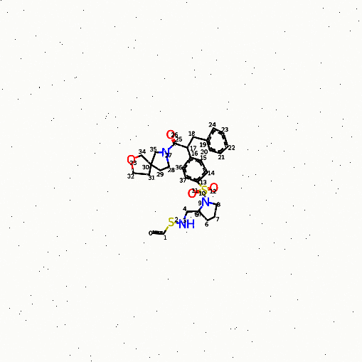 C=CSNC[C@@H]1CCCN1S(=O)(=O)c1ccc(C(Cc2ccccc2)C(=O)N2CCC3(CCOC3)C2)cc1